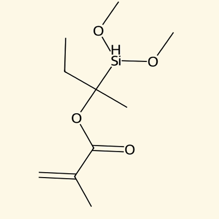 C=C(C)C(=O)OC(C)(CC)[SiH](OC)OC